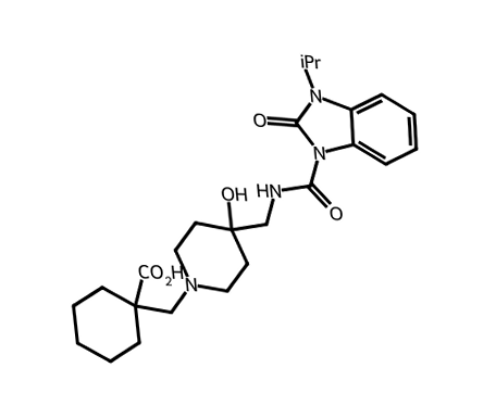 CC(C)n1c(=O)n(C(=O)NCC2(O)CCN(CC3(C(=O)O)CCCCC3)CC2)c2ccccc21